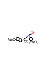 COc1ccc2cc(C(CCCN(CCO)c3ccc([N+](=O)[O-])cc3)C(=O)O)ccc2c1